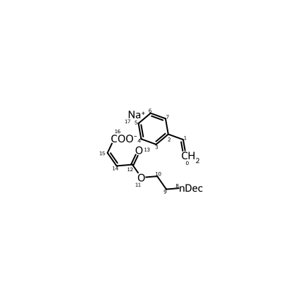 C=Cc1ccccc1.CCCCCCCCCCCCOC(=O)/C=C\C(=O)[O-].[Na+]